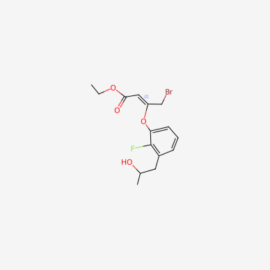 CCOC(=O)/C=C(/CBr)Oc1cccc(CC(C)O)c1F